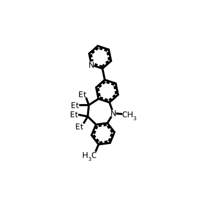 CCC1(CC)c2cc(C)ccc2N(C)c2ccc(-c3ccccn3)cc2C1(CC)CC